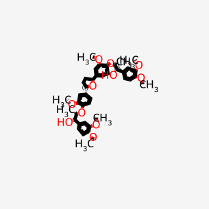 COc1ccc(C(O)C(C)Oc2ccc([C@@H]3CCC(c4ccc(O[C@H](C)[C@H](O)c5ccc(OC)c(OC)c5)c(OC)c4)O3)cc2OC)cc1OC